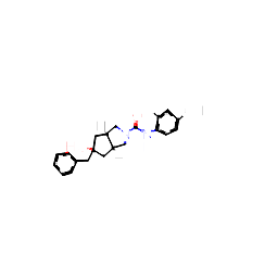 Cc1ccc(NC(=O)N2C[C@@H]3CC(O)(Cc4ccccc4)C[C@@H]3C2)c(C)c1